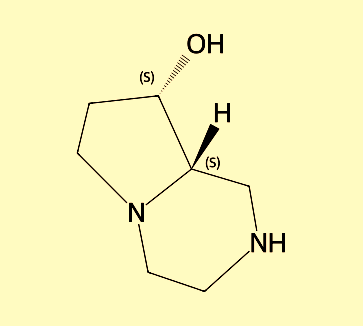 O[C@H]1CCN2CCNC[C@@H]12